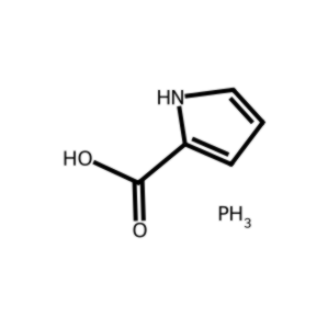 O=C(O)c1ccc[nH]1.P